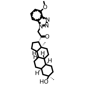 COc1cccc2c1nnn2CC(=O)[C@H]1CC[C@H]2[C@@H]3CC[C@@H]4C[C@](C)(O)CC[C@@H]4[C@H]3CC[C@]12C